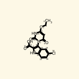 CCOc1cc(=O)n(-c2c(C(=O)O)[nH]c3ccc(Cl)cc23)c(=O)[nH]1